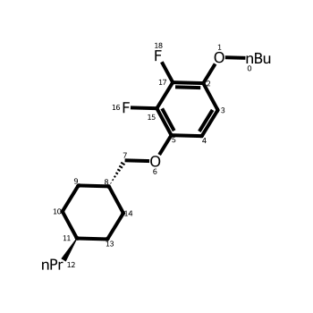 CCCCOc1ccc(OC[C@H]2CC[C@H](CCC)CC2)c(F)c1F